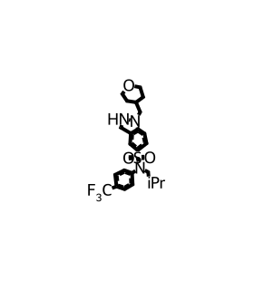 CC(C)CN(c1ccc(C(F)(F)F)cc1)S(=O)(=O)c1ccc2c(c1)CNN2CC1CCOCC1